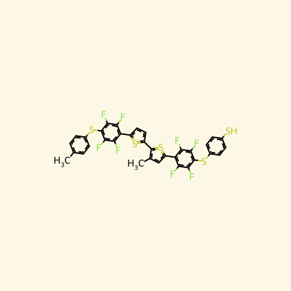 Cc1ccc(Sc2c(F)c(F)c(-c3ccc(-c4sc(-c5c(F)c(F)c(Sc6ccc(S)cc6)c(F)c5F)cc4C)s3)c(F)c2F)cc1